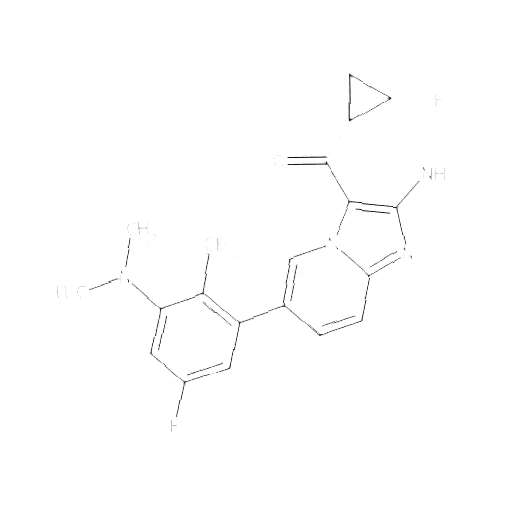 Cc1c(-c2ccc3nc(N)c(C(=O)[C@@H]4C[C@@H]4F)n3c2)cc(F)cc1N(C)C